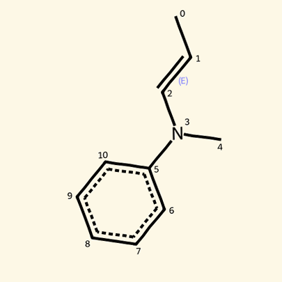 C/C=C/N(C)c1ccccc1